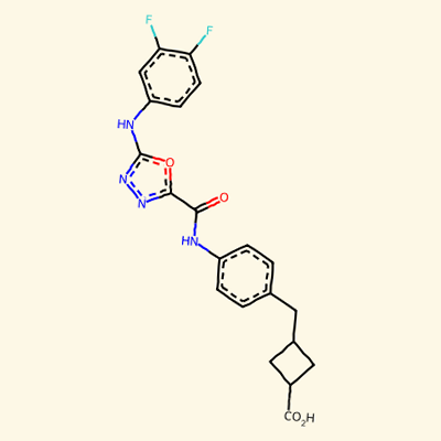 O=C(Nc1ccc(CC2CC(C(=O)O)C2)cc1)c1nnc(Nc2ccc(F)c(F)c2)o1